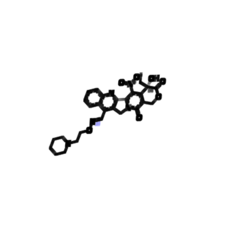 CC[C@@]1(O)C(=O)OCc2c1c([N+](=O)[O-])c1n(c2=O)Cc2c-1nc1ccccc1c2/C=N/OCCN1CCCCC1